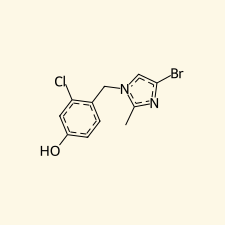 Cc1nc(Br)cn1Cc1ccc(O)cc1Cl